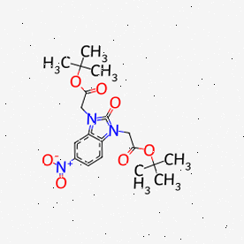 CC(C)(C)OC(=O)Cn1c(=O)n(CC(=O)OC(C)(C)C)c2cc([N+](=O)[O-])ccc21